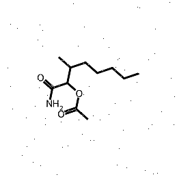 CCCCCC(C)C(OC(C)=O)C(N)=O